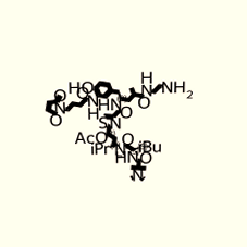 CC[C@H](C)[C@H](NC(=O)C(C)(C)N(C)C)C(=O)N(C)[C@H](C[C@@H](OC(C)=O)c1nc(C(=O)N[C@@H](Cc2ccc(O)c(NC(=O)CCCN3C(=O)C=CC3=O)c2)CC(C)C(=O)NCCN)cs1)C(C)C